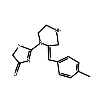 Cc1ccc(C=C2CNCCN2C2=NC(=O)CS2)cc1